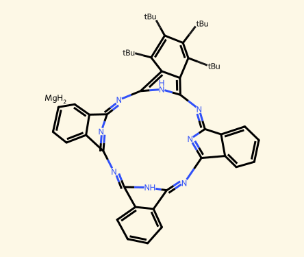 CC(C)(C)c1c(C(C)(C)C)c(C(C)(C)C)c2c3nc4nc(nc5[nH]c(nc6nc(nc([nH]3)c2c1C(C)(C)C)-c1ccccc1-6)c1ccccc51)-c1ccccc1-4.[MgH2]